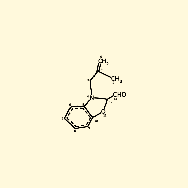 C=C(C)CN1c2ccccc2OC1C=O